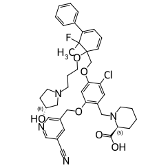 CC1(F)C(c2ccccc2)=CC=CC1(COc1cc(OCc2cncc(C#N)c2)c(CN2CCCC[C@H]2C(=O)O)cc1Cl)OCCCN1CC[C@@H](O)C1